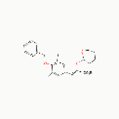 CCOC(=O)/C(=C/c1cc(C)c(OCc2ccccc2)c(C)c1)OC1CCCCO1